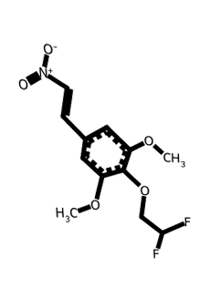 COc1cc(C=C[N+](=O)[O-])cc(OC)c1OCC(F)F